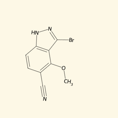 COc1c(C#N)ccc2[nH]nc(Br)c12